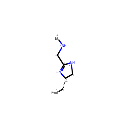 CCCCCC[C@H]1CNC(CNCC)=N1